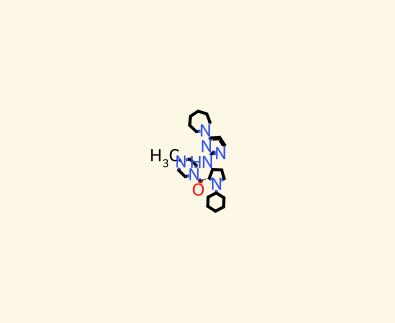 CN1CCN(C(=O)[C@@H]2[C@@H](Nc3nccc(N4CCCCCC4)n3)CCN2C2CCCCC2)CC1